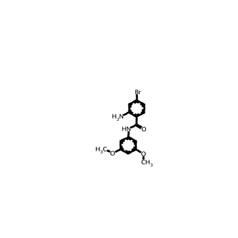 COc1cc(NC(=O)c2ccc(Br)cc2N)cc(OC)c1